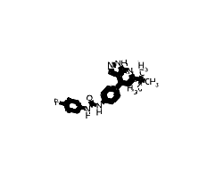 CC(C)(C)c1cc(-c2ccc(NC(=O)Nc3ccc(F)cc3)cc2)c2cn[nH]c2n1